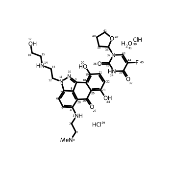 CNCCNc1ccc2c3c(nn2CCNCCO)-c2c(O)ccc(O)c2C(=O)c13.Cl.Cl.O.O=c1[nH]c(=O)n(C2CCCO2)cc1F